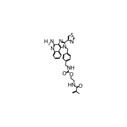 C=C(C)C(=O)NCCOC(=O)NCc1ccc(Cn2c(-c3cscn3)nc3c(N)nc4ccccc4c32)cc1